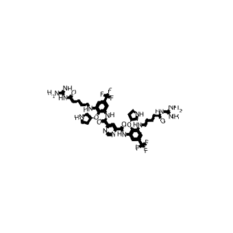 N=C(N)NC(=O)CCCCNc1cc(C(F)(F)F)cc(NC(=O)c2cc(C(=O)Nc3cc(C(F)(F)F)cc(NCCCCC(=O)NC(=N)N)c3O[C@@H]3CCNC3)ncn2)c1O[C@@H]1CCNC1